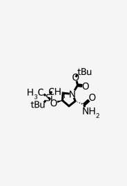 CC(C)(C)OC(=O)N1C[C@H](O[Si](C)(C)C(C)(C)C)C[C@H]1C(N)=O